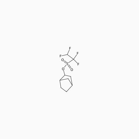 O=S(=O)(OC1CC2CCC1C2)C(F)(F)C(F)F